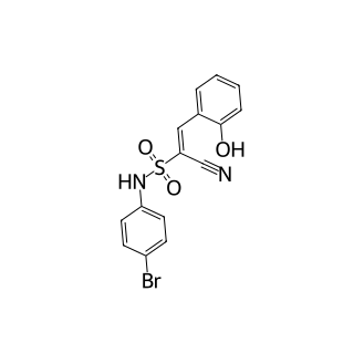 N#CC(=Cc1ccccc1O)S(=O)(=O)Nc1ccc(Br)cc1